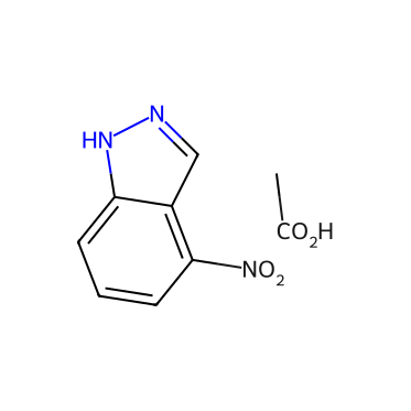 CC(=O)O.O=[N+]([O-])c1cccc2[nH]ncc12